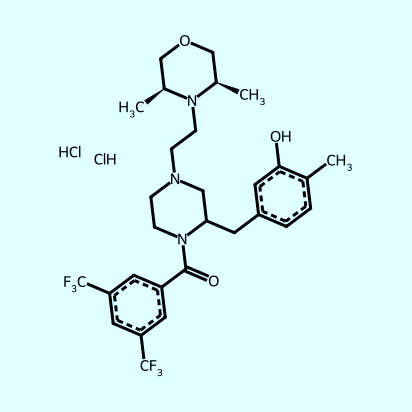 Cc1ccc(CC2CN(CCN3[C@H](C)COC[C@@H]3C)CCN2C(=O)c2cc(C(F)(F)F)cc(C(F)(F)F)c2)cc1O.Cl.Cl